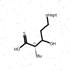 CCCCCCCCCC(O)[C@@H](C(O)=S)C(C)(C)C